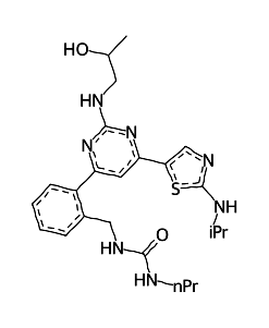 CCCNC(=O)NCc1ccccc1-c1cc(-c2cnc(NC(C)C)s2)nc(NCC(C)O)n1